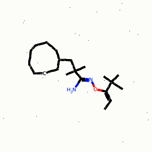 C/C=C(\O/N=C(\N)C(C)(C)CC1CCCCCCCC1)C(C)(C)C